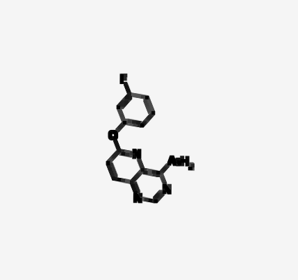 Fc1cccc(Oc2ccc3ncnc([AsH2])c3n2)c1